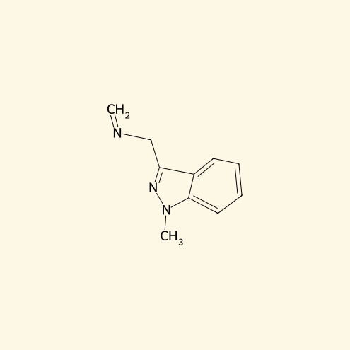 C=NCc1nn(C)c2ccccc12